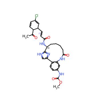 COC(=O)Nc1ccc2c(c1)NC(=O)CCCC[C@H](NC(=O)/C=C/C1C=C(Cl)C=CC1C(C)=O)c1nc-2c[nH]1